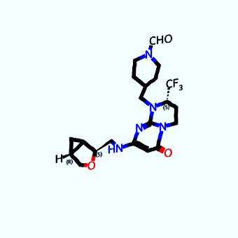 O=CN1CCC(CN2c3nc(NC[C@H]4OC[C@@H]5CC54)cc(=O)n3CC[C@H]2C(F)(F)F)CC1